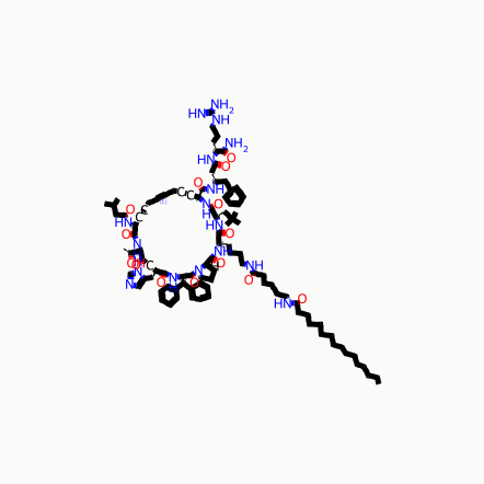 CCCCCCCCCCCCCCCC(=O)NCCCCCC(=O)NCCCC[C@@H]1NC(=O)[C@@H]2CCCN2C(=O)[C@H](C(c2ccccc2)c2ccccc2)NC(=O)[C@H](Cc2cnc[nH]2)CC(=O)[C@H]([C@@H](C)O)NC(=O)[C@@H](NC(=O)CC(C)C)CCC/C=C/CCC[C@@H](C(=O)N[C@H](CC(=O)N[C@H](CCCNC(=N)N)C(N)=O)Cc2ccccc2)NC(=O)[C@H](CC(C)(C)C)NC1=O